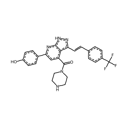 O=C(c1cc(-c2ccc(O)cc2)nc2[nH]nc(/C=C/c3ccc(C(F)(F)F)cc3)c12)N1CCNCC1